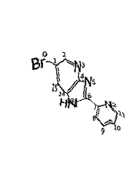 Brc1cnc2nc(-c3ccccn3)[nH]c2c1